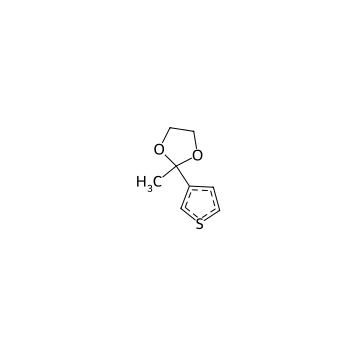 CC1(c2ccsc2)OCCO1